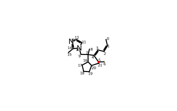 C/C=C\C=C(/CC)C(C)(Cn1ccnc1C)C1CCCC1C